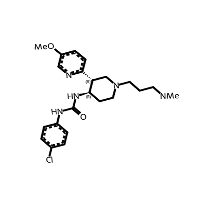 CNCCCN1CC[C@@H](NC(=O)Nc2ccc(Cl)cc2)[C@H](c2ccc(OC)cn2)C1